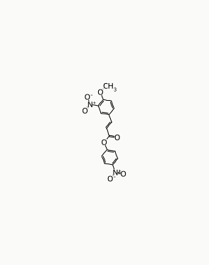 COc1ccc(/C=C/C(=O)Oc2ccc([N+](=O)[O-])cc2)cc1[N+](=O)[O-]